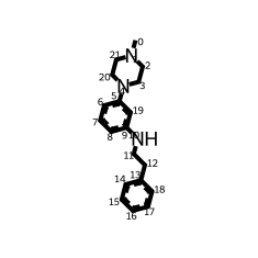 CN1CCN(c2cccc(NCCc3ccccc3)c2)CC1